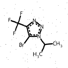 CC(C)n1nnc(C(F)(F)F)c1Br